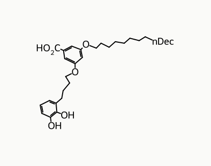 CCCCCCCCCCCCCCCCCCOc1cc(OCCCCc2cccc(O)c2O)cc(C(=O)O)c1